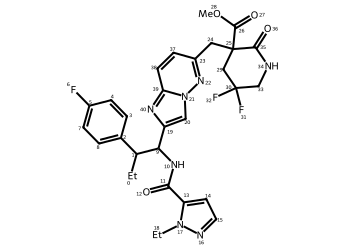 CCC(c1ccc(F)cc1)C(NC(=O)c1ccnn1CC)c1cn2nc(CC3(C(=O)OC)CC(F)(F)CNC3=O)ccc2n1